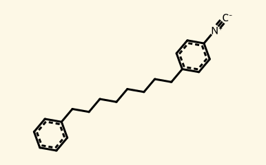 [C-]#[N+]c1ccc(CCCCCCCCc2ccccc2)cc1